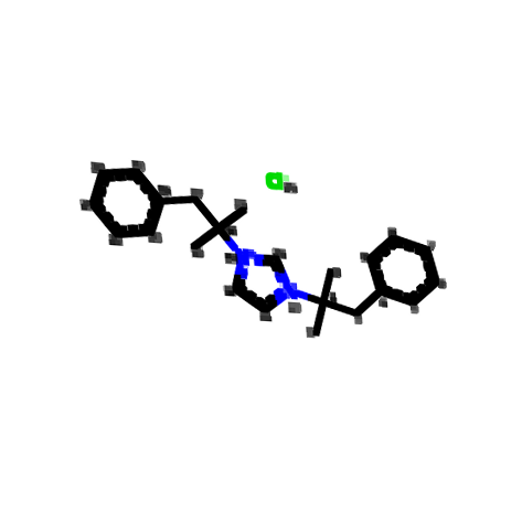 CC(C)(Cc1ccccc1)n1cc[n+](C(C)(C)Cc2ccccc2)c1.[Cl-]